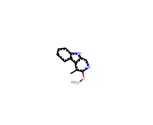 CCOC(=O)Oc1ncc2[nH]c3ccccc3c2c1C